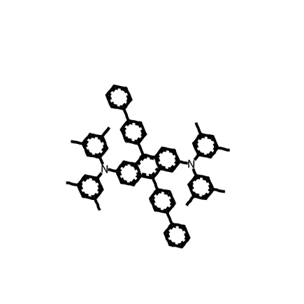 Cc1cc(C)cc(N(c2cc(C)cc(C)c2)c2ccc3c(-c4ccc(-c5ccccc5)cc4)c4cc(N(c5cc(C)cc(C)c5)c5cc(C)cc(C)c5)ccc4c(-c4ccc(-c5ccccc5)cc4)c3c2)c1